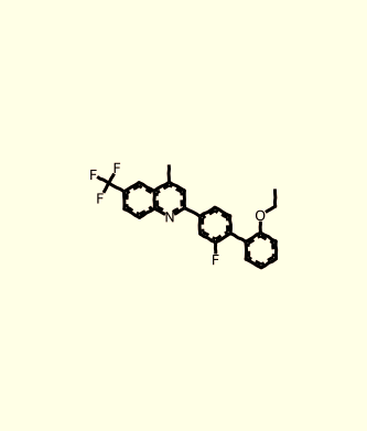 CCOc1ccccc1-c1ccc(-c2cc(C)c3cc(C(F)(F)F)ccc3n2)cc1F